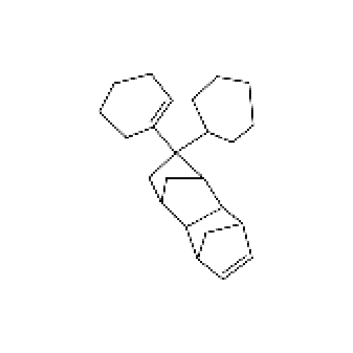 C1=CC2CC1C1C3CC(C21)C(C1=CCCCC1)(C1CCCCC1)C3